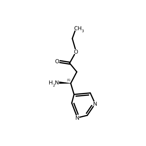 CCOC(=O)C[C@H](N)c1cncnc1